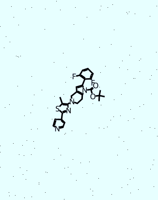 Cc1sc(-c2ccncc2)nc1N1CCc2c(cc(-c3c(F)cccc3F)n2C(=O)OC(C)(C)C)C1